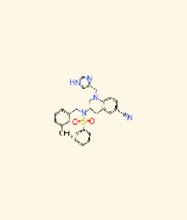 Cc1cccc(CN(C2Cc3cc(C#N)ccc3N(Cc3c[nH]cn3)C2)S(=O)(=O)c2ccccc2)c1